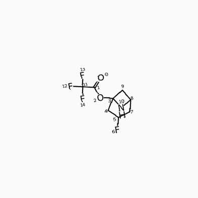 O=C(OC12CC(F)CC(C1)N2)C(F)(F)F